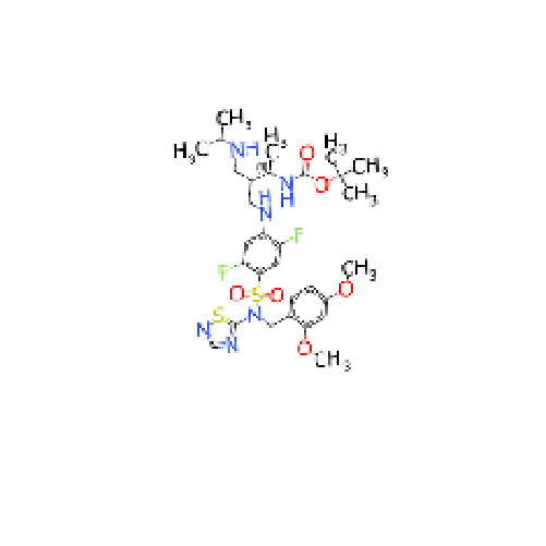 COc1ccc(CN(c2ncns2)S(=O)(=O)c2cc(F)c(NCC(CNC(C)C)[C@@H](C)NC(=O)OC(C)(C)C)cc2F)c(OC)c1